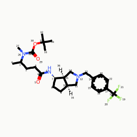 CC(CCC(=O)N[C@H]1CC[C@@H]2CN(Cc3ccc(C(F)(F)F)cc3)C[C@@H]21)N(C)C(=O)OC(C)(C)C